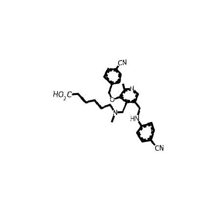 Cc1ncc(CNc2ccc(C#N)cc2)c(CN(C)CCCCCC(=O)O)c1OCc1ccc(C#N)cc1